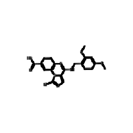 COc1ccc(CNc2nc3ccc(C(=O)O)cc3n3c(Cl)ncc23)c(OC)c1